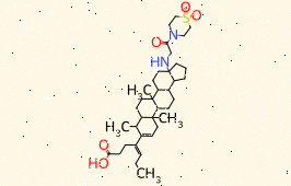 CC/C=C(\CCC(=O)O)C1=CCC2(C)C(CCC3(C)C4CCC5(NCC(=O)N6CCS(=O)(=O)CC6)CCCC5C4CCC23)C1C